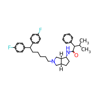 CC(C)C(C(=O)N[C@H]1CC[C@@H]2CN(CCCCCC(c3ccc(F)cc3)c3ccc(F)cc3)C[C@@H]21)c1ccccc1